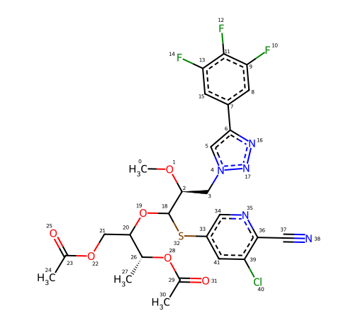 CO[C@@H](Cn1cc(-c2cc(F)c(F)c(F)c2)nn1)C(OC(COC(C)=O)[C@@H](C)OC(C)=O)Sc1cnc(C#N)c(Cl)c1